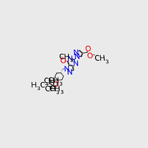 CCOC(=O)c1cnn(-c2nc(OC)c3c(cnn3C[C@H]3CC[C@@H](O[Si](C)(C)C(C)(C)C)CC3)n2)c1